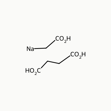 O=C(O)CCC(=O)O.O=C(O)[CH2][Na]